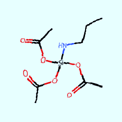 CCCN[Si](OC(C)=O)(OC(C)=O)OC(C)=O